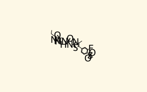 CCc1nnc(CNC(=O)Nc2nc(C)c(-c3ccc(S(C)(=O)=O)c(F)c3)s2)o1